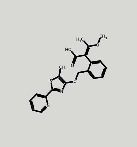 COC(C)=C(C(=O)O)c1ccccc1COc1nc(-c2ccccn2)sc1C